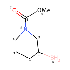 BC1CCCN(C(=O)OC)C1